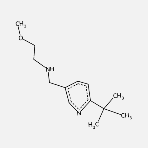 COCCNCc1ccc(C(C)(C)C)nc1